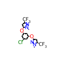 Cn1nc(C(F)(F)F)cc1Oc1cc(Cl)cc(Oc2cc(C(F)(F)F)n(C)n2)c1